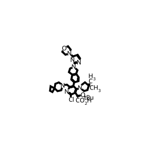 CC1(C)CCN(c2c(-c3ccc4c(c3)CCN(c3nccc(N5CCOCC5)n3)C4)c(CN3CCC4(CCC4)CC3)nc(Cl)c2[C@H](OC(C)(C)C)C(=O)O)CC1